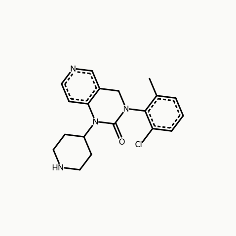 Cc1cccc(Cl)c1N1Cc2cnccc2N(C2CCNCC2)C1=O